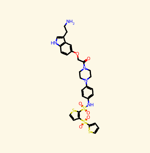 NCCc1c[nH]c2ccc(OCC(=O)N3CCN(c4ccc(NS(=O)(=O)c5sccc5S(=O)(=O)c5cccs5)cc4)CC3)cc12